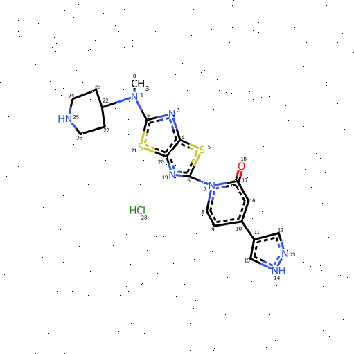 CN(c1nc2sc(-n3ccc(-c4cn[nH]c4)cc3=O)nc2s1)C1CCNCC1.Cl